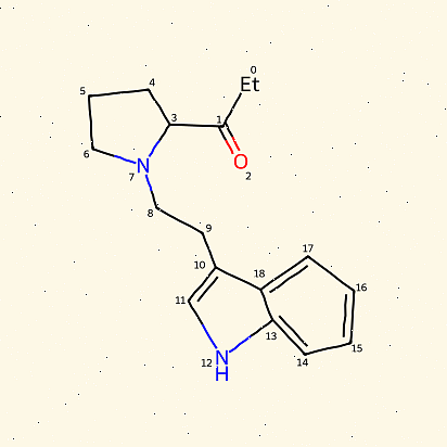 CCC(=O)C1CCCN1CCc1c[nH]c2ccccc12